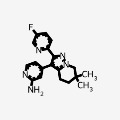 CC1(C)CCc2c(-c3ccnc(N)c3)c(-c3ccc(F)cn3)nn2C1